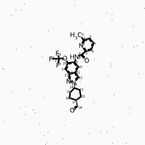 Cc1cccc(C(=O)Nc2cc3cn([C@H]4CC[C@H](C=O)CC4)nc3cc2OC(F)(F)F)n1